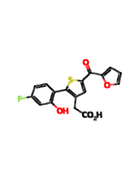 O=C(O)Cc1cc(C(=O)c2ccco2)sc1-c1ccc(F)cc1O